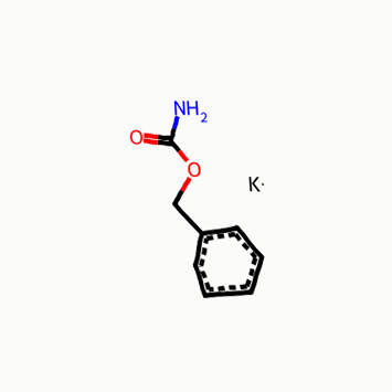 NC(=O)OCc1ccccc1.[K]